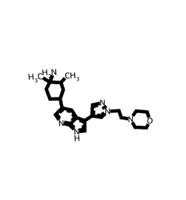 CC1CC(c2cnc3[nH]cc(-c4cnn(CCN5CCOCC5)c4)c3c2)CCC1(C)N